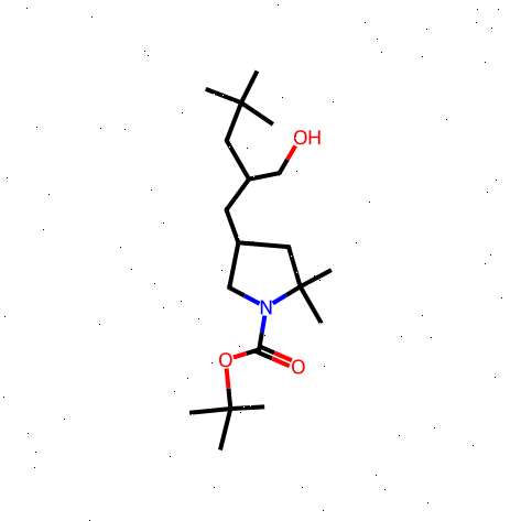 CC(C)(C)CC(CO)CC1CN(C(=O)OC(C)(C)C)C(C)(C)C1